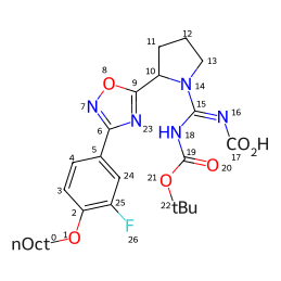 CCCCCCCCOc1ccc(-c2noc(C3CCCN3/C(=N/C(=O)O)NC(=O)OC(C)(C)C)n2)cc1F